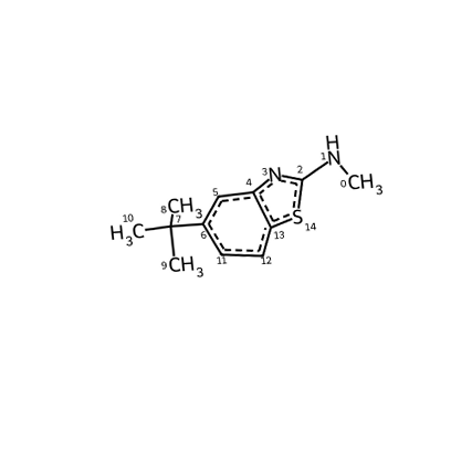 CNc1nc2cc(C(C)(C)C)ccc2s1